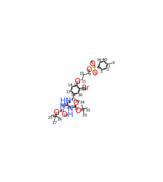 Cc1ccc(S(=O)(=O)OCCCOc2ccc(CN/C(=N/C(=O)OC(C)(C)C)NC(=O)OC(C)(C)C)cc2Br)cc1